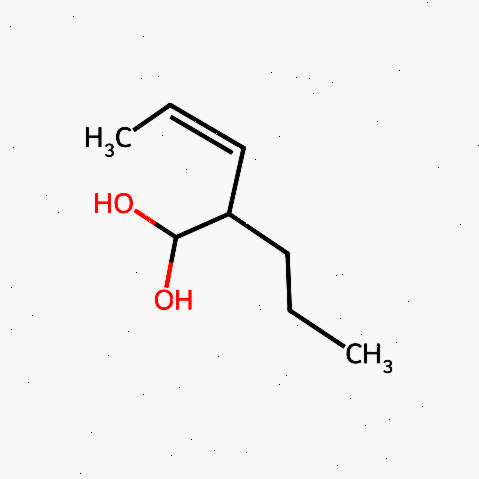 C/C=C\C(CCC)C(O)O